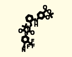 CC1(C)OC(=O)c2ccc(Nc3ccccc3CN3C(=O)N(c4ccc(C#N)c(C(F)(F)F)c4)C(=O)C3(C)C)cc2O1